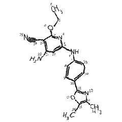 CCOc1nc(Nc2ccc(-c3nc(C)c(C)o3)cc2)cc(N)c1C#N